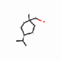 CC(C)[C@H]1CC[C@](C)(CO)CC1